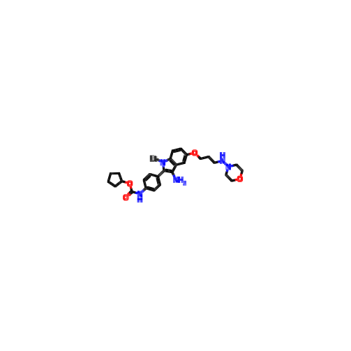 CCn1c(-c2ccc(NC(=O)OC3CCCC3)cc2)c(N)c2cc(OCCCNN3CCOCC3)ccc21